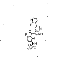 CCCS(=O)(=O)Nc1ccc(F)c(C(=O)c2c[nH]c3ncc(-c4cccnc4F)cc23)c1F